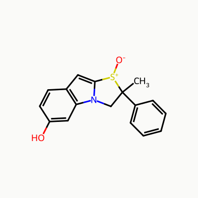 CC1(c2ccccc2)Cn2c(cc3ccc(O)cc32)[S+]1[O-]